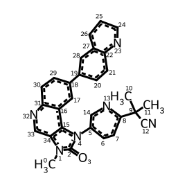 Cn1c(=O)n(-c2ccc(C(C)(C)C#N)nc2)c2c3cc(-c4ccc5ncccc5c4)ccc3ncc21